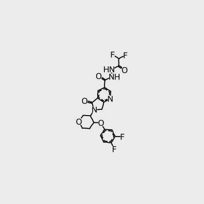 O=C(NNC(=O)C(F)F)c1cnc2c(c1)C(=O)N(C1COCCC1Oc1ccc(F)c(F)c1)C2